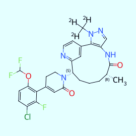 [2H]C([2H])([2H])n1ncc2c1-c1ccnc(c1)[C@@H](N1CCC(c3c(OC(F)F)ccc(Cl)c3F)=CC1=O)CCC[C@@H](C)C(=O)N2